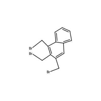 BrCc1cc2ccccc2c(CBr)c1CBr